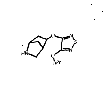 CCCOc1nsnc1OC1CC2CC1CN2